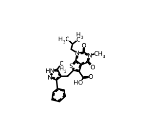 Cc1[nH]nc(-c2ccccc2)c1Cc1sc2c(c1C(=O)O)c(=O)n(C)c(=O)n2CC(C)C